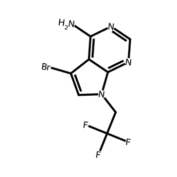 Nc1ncnc2c1c(Br)cn2CC(F)(F)F